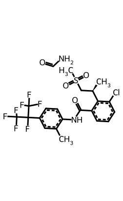 Cc1cc(C(F)(C(F)(F)F)C(F)(F)F)ccc1NC(=O)c1cccc(Cl)c1[C@H](C)CS(C)(=O)=O.NC=O